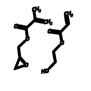 C=C(C)C(=O)OCC1CO1.C=CC(=O)OCCO